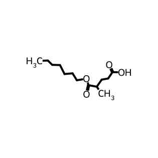 CCCCCCCOC(=O)C(C)CCC(=O)O